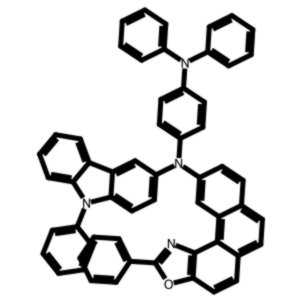 c1ccc(-c2nc3c(ccc4ccc5ccc(N(c6ccc(N(c7ccccc7)c7ccccc7)cc6)c6ccc7c(c6)c6ccccc6n7-c6ccccc6)cc5c43)o2)cc1